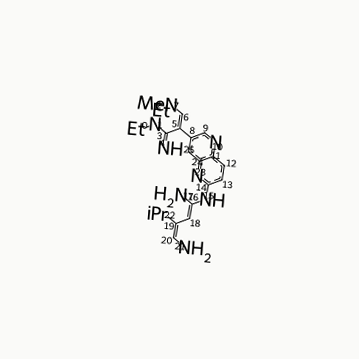 CCN(CC)C(=N)/C(=C\NC)c1cnc2ccc(N/C(N)=C/C(=C\N)C(C)C)nc2c1